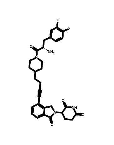 N[C@@H](Cc1ccc(F)c(F)c1)C(=O)N1CCC(CCC#Cc2cccc3c2CN(C2CCC(=O)NC2=O)C3=O)CC1